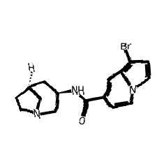 O=C(N[C@@H]1C[C@@H]2CCN(C2)C1)c1ccn2ccc(Br)c2c1